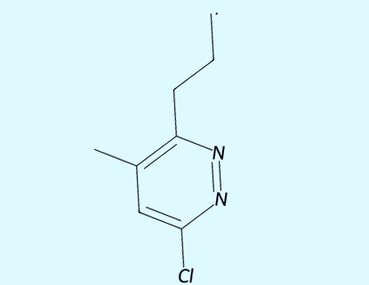 [CH2]CCc1nnc(Cl)cc1C